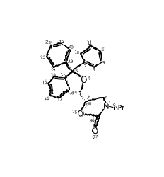 CCCN1C[C@@H](COC(c2ccccc2)(c2ccccc2)c2ccccc2)OC1=O